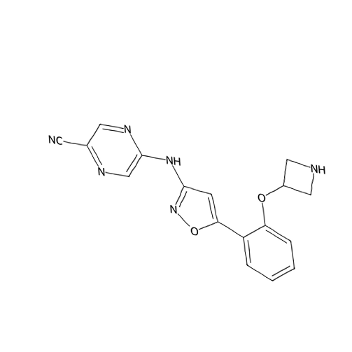 N#Cc1cnc(Nc2cc(-c3ccccc3OC3CNC3)on2)cn1